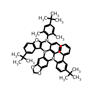 Cc1cc(C(C)(C)C)cc(C)c1N1c2cccc3c2B(c2cc4c(cc2N3c2ccc(C(C)(C)C)cc2-c2ccccc2)OCO4)c2c1oc1ccc(C(C)(C)C)cc21